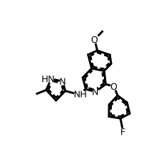 COc1ccc2c(Oc3ccc(F)cc3)nc(Nc3cc(C)[nH]n3)cc2c1